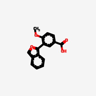 COc1ccc(C(=O)O)cc1-c1occ2ccccc12